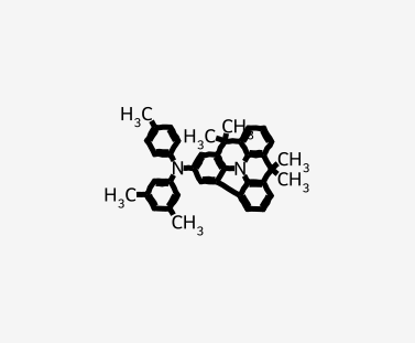 Cc1ccc(N(c2cc(C)cc(C)c2)c2cc3c4c(c2)c2cccc5c2n4-c2c(cccc2C3(C)C)C5(C)C)cc1